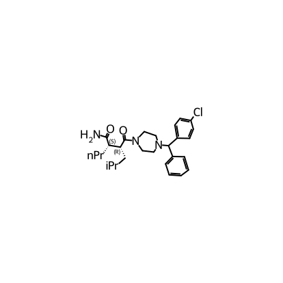 CCC[C@H](C(N)=O)[C@@H](CC(C)C)C(=O)N1CCN(C(c2ccccc2)c2ccc(Cl)cc2)CC1